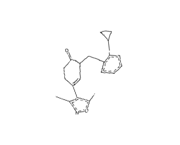 Cc1noc(C)c1C1=CC(Cc2ccccc2C2CC2)C(=O)CC1